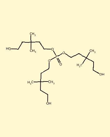 CC(C)(CCO)CCOP(=O)(OCCC(C)(C)CCO)OCCC(C)(C)CCO